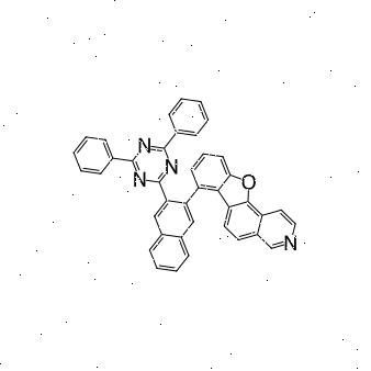 c1ccc(-c2nc(-c3ccccc3)nc(-c3cc4ccccc4cc3-c3cccc4oc5c6ccncc6ccc5c34)n2)cc1